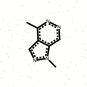 Cc1nncc2c1cnn2C